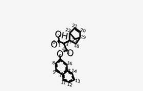 O=C(O)C(C(=O)Oc1ccc2ccccc2c1)C1CC2C=CC1C2